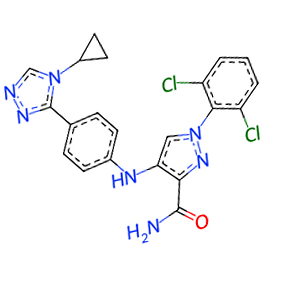 NC(=O)c1nn(-c2c(Cl)cccc2Cl)cc1Nc1ccc(-c2nncn2C2CC2)cc1